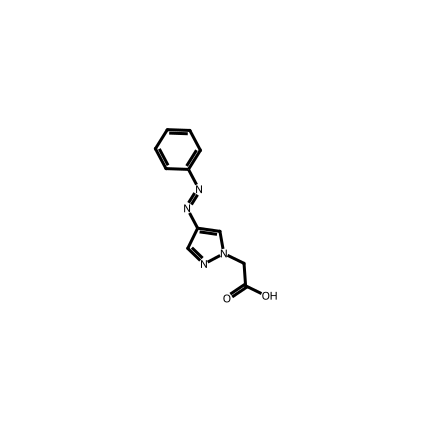 O=C(O)Cn1cc(/N=N/c2ccccc2)cn1